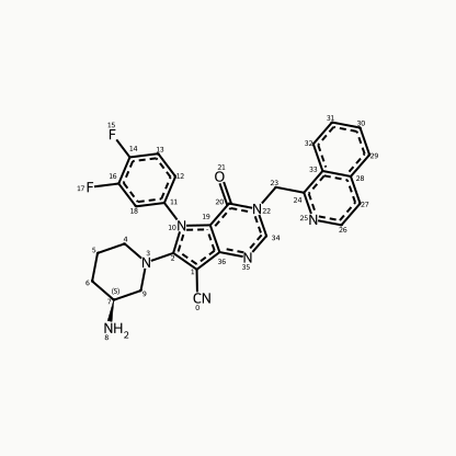 N#Cc1c(N2CCC[C@H](N)C2)n(-c2ccc(F)c(F)c2)c2c(=O)n(Cc3nccc4ccccc34)cnc12